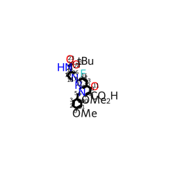 COc1ccc(Cn2cc(C(=O)O)c(=O)c3cc(F)c(N4CCC(NC(=O)OC(C)(C)C)C4)nc32)c(OC)c1